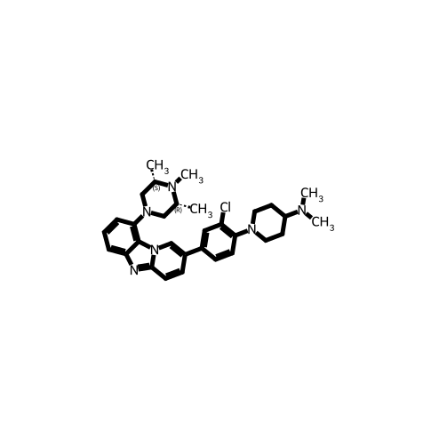 C[C@@H]1CN(c2cccc3nc4ccc(-c5ccc(N6CCC(N(C)C)CC6)c(Cl)c5)cn4c23)C[C@H](C)N1C